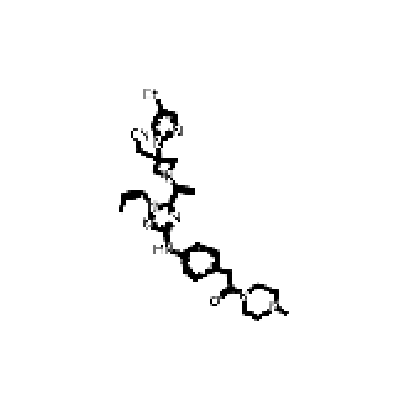 C=C(c1nc(Nc2ccc(CC(=O)N3CCN(C)CC3)cc2)nn1/C=C\C)N1CC(CC#N)(n2cc(CC)cn2)C1